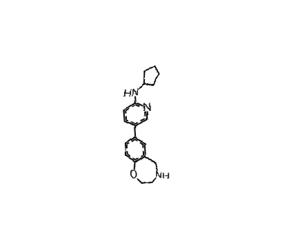 c1cc(NC2CCCC2)ncc1-c1ccc2c(c1)CNCCO2